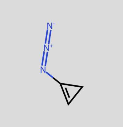 [N-]=[N+]=NC1=CC1